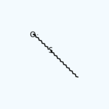 CCCCCCCCCCCCCCCCCCSCCCCCCCCC[C]=O